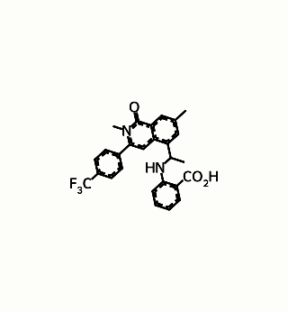 Cc1cc(C(C)Nc2ccccc2C(=O)O)c2cc(-c3ccc(C(F)(F)F)cc3)n(C)c(=O)c2c1